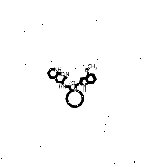 COc1cccc2[nH]c(C(=O)N3CCCCCCCCCC3C(=O)NC(C#N)CC3CCCNC3=O)cc12